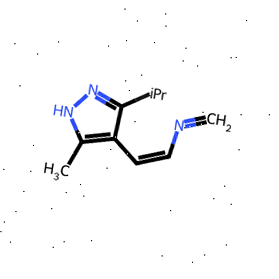 C=N/C=C\c1c(C(C)C)n[nH]c1C